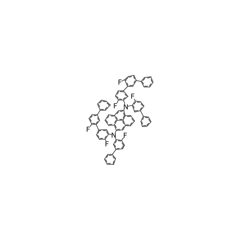 Fc1ccc(-c2ccccc2)cc1-c1ccc(F)c(N(c2cc(-c3ccccc3)ccc2F)c2cc3cccc4c(N(c5cc(-c6ccccc6)ccc5F)c5cc(-c6cc(-c7ccccc7)ccc6F)ccc5F)cc5cccc2c5c34)c1